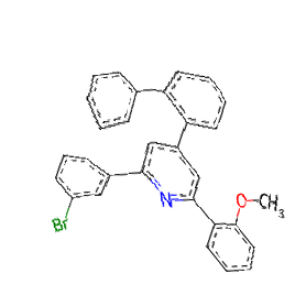 COc1ccccc1-c1cc(-c2ccccc2-c2ccccc2)cc(-c2cccc(Br)c2)n1